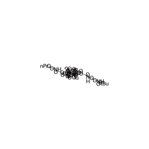 CCCOCCOCCNC(=O)CCCCOC(=O)OC[C@]12SS[C@@]3(C[C@]4([C@]56C[C@@]78SS[C@@](COC(=O)OCCCCC(=O)NCCOCCOCCNC(=O)OC(C)(C)C)(C(=O)N7[C@H]5N(S(=O)(=O)c5ccccc5)c5ccccc56)N(C)C8=O)c5ccccc5N(S(=O)(=O)c5ccccc5)[C@@H]4N3C1=O)C(=O)N2C